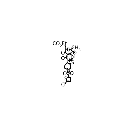 CCOC(=O)CNC(=O)c1c(S(C)(=O)=O)nc2sc3c(n2c1=O)CCN(S(=O)(=O)c1ccc(Cl)s1)C3